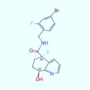 O=C(NCc1ccc(Br)cc1F)[C@]1(F)CC[C@H](O)c2ncccc21